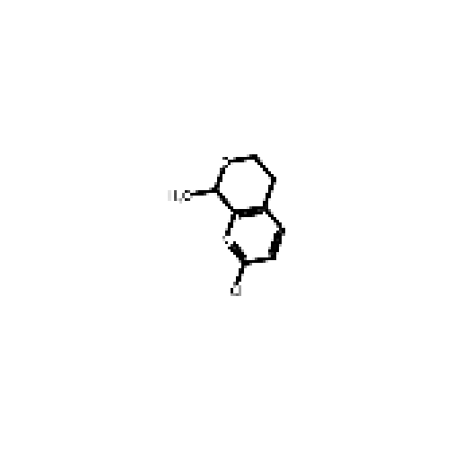 CC1OCCc2ccc(Cl)nc21